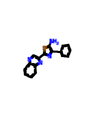 Nc1sc(-c2cnc3ccccc3n2)nc1-c1ccccc1